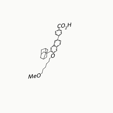 COCCCCCCOc1cc2ccc(-c3ccc(C(=O)O)cc3)cc2cc1C12CC3CC(CC(C3)C1)C2